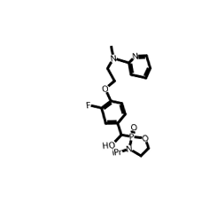 CC(C)N1CCOP1(=O)C(O)c1ccc(OCCN(C)c2ccccn2)c(F)c1